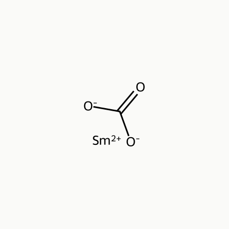 O=C([O-])[O-].[Sm+2]